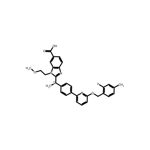 COCCn1c([C@H](C)c2ccc(-c3cccc(OCc4ccc(C)cc4F)n3)cc2)nc2ccc(C(=O)O)cc21